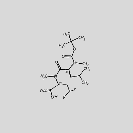 CC(C)C[C@@H](C(=O)N(C)[C@H](CC(F)F)C(=O)O)N(C)C(=O)OC(C)(C)C